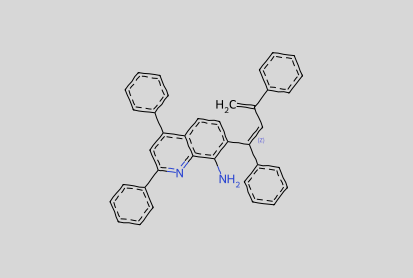 C=C(/C=C(/c1ccccc1)c1ccc2c(-c3ccccc3)cc(-c3ccccc3)nc2c1N)c1ccccc1